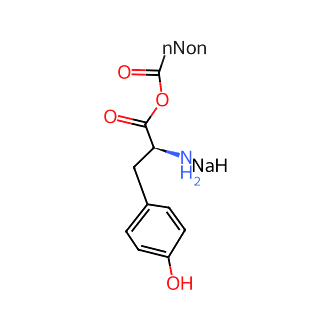 CCCCCCCCCC(=O)OC(=O)[C@@H](N)Cc1ccc(O)cc1.[NaH]